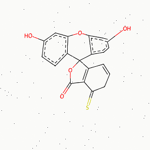 O=C1OC2(C3=C1C(=S)CC=C3)c1ccc(O)cc1Oc1cc(O)ccc12